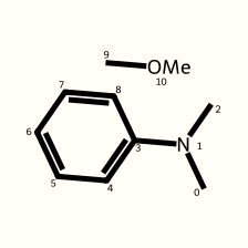 CN(C)c1ccccc1.COC